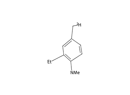 [2H]Cc1ccc(NC)c(CC)c1